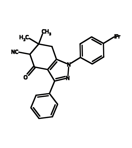 CC(C)c1ccc(-n2nc(-c3ccccc3)c3c2CC(C)(C)C(C#N)C3=O)cc1